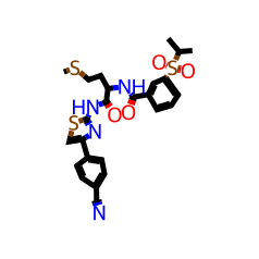 CSCCC(NC(=O)c1cccc(S(=O)(=O)C(C)C)c1)C(=O)Nc1nc(-c2ccc(C#N)cc2)cs1